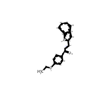 CCOc1ccc(C(=O)/C=C/c2cc3ccccc3o2)cc1